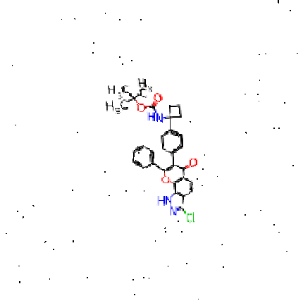 CC(C)(C)OC(=O)NC1(c2ccc(-c3c(-c4ccccc4)oc4c(ccc5c(Cl)n[nH]c54)c3=O)cc2)CCC1